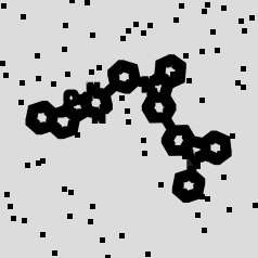 c1ccc(-n2c3ccccc3c3cc(-c4ccc5c(c4)c4ccccc4n5-c4cccc(-c5cnc6c(n5)oc5c7ccccc7ccc65)c4)ccc32)cc1